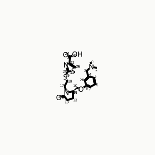 CN(C)Cc1cccc(OC[C@H]2CCC(=O)N2CCSc2nc(C(=O)O)cs2)c1